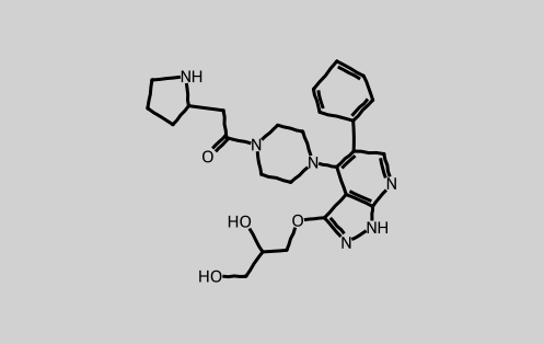 O=C(CC1CCCN1)N1CCN(c2c(-c3ccccc3)cnc3[nH]nc(OCC(O)CO)c23)CC1